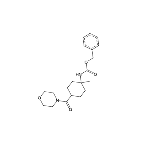 CC1(NC(=O)OCc2ccccc2)CCC(C(=O)N2CCOCC2)CC1